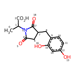 CC(C(=O)O)N1C(=O)CC(Cc2ccc(O)cc2O)C1=O